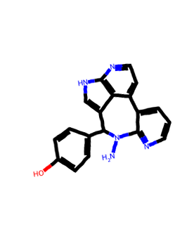 NN1c2ncccc2-c2ccnc3[nH]cc(c23)C1c1ccc(O)cc1